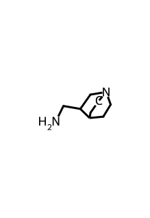 NCC1CN2CCC1CC2